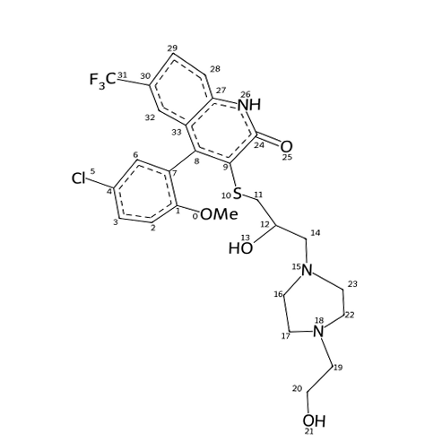 COc1ccc(Cl)cc1-c1c(SCC(O)CN2CCN(CCO)CC2)c(=O)[nH]c2ccc(C(F)(F)F)cc12